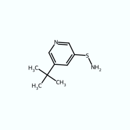 CC(C)(C)c1cncc(SN)c1